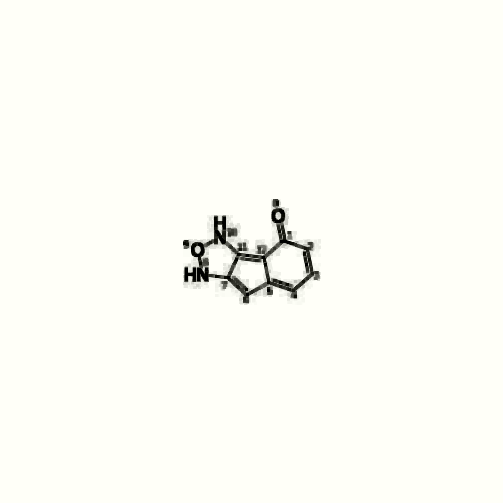 O=c1cccc2cc3[nH]o[nH]c-3c1-2